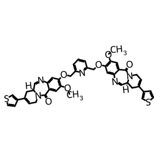 COc1cc2c(cc1OCc1cccc(COc3cc4c(cc3OC)C(=O)N3CC=C(c5ccsc5)C[C@H]3C=N4)n1)N=C[C@@H]1CC(c3ccsc3)=CCN1C2=O